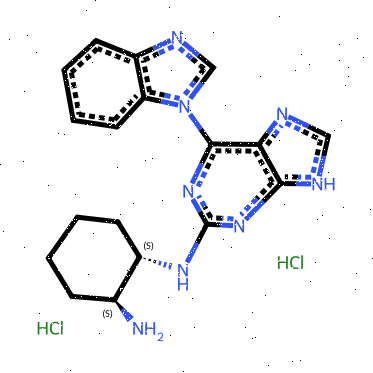 Cl.Cl.N[C@H]1CCCC[C@@H]1Nc1nc(-n2cnc3ccccc32)c2nc[nH]c2n1